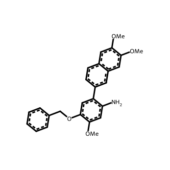 COc1cc2ccc(-c3cc(OCc4ccccc4)c(OC)cc3N)cc2cc1OC